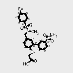 CN(Cc1ccc(OCC(=O)O)c(-c2cccc(S(C)(=O)=O)c2)c1)S(=O)(=O)c1ccc(F)cc1